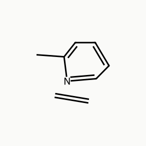 C=C.Cc1ccccn1